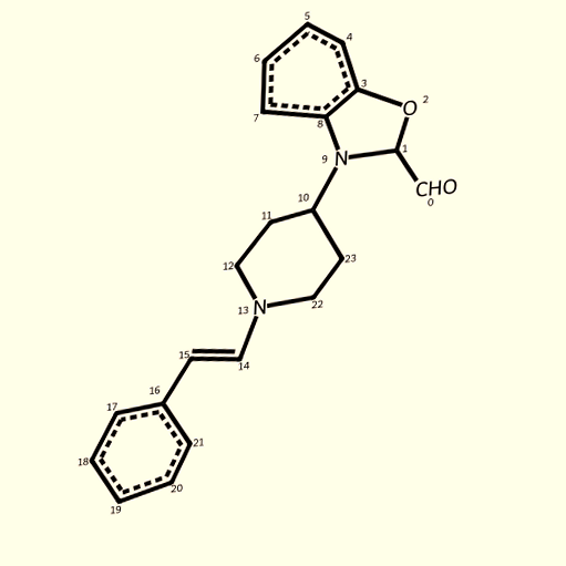 O=CC1Oc2ccccc2N1C1CCN(C=Cc2ccccc2)CC1